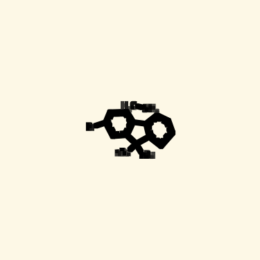 CCCCC1(CCCC)c2ccccc2-c2ccc(Br)cc21.C[SiH3]